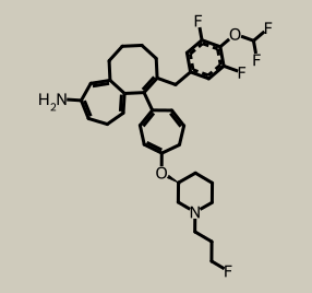 NC1=CCC=C2C(=C1)CCCC/C(Cc1cc(F)c(OC(F)F)c(F)c1)=C\2C1=CC=C(O[C@H]2CCCN(CCCF)C2)CC=C1